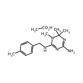 CC(=O)O.Cc1ccc(CNC2=NC(N)=NC(C)(C)N2C)cc1